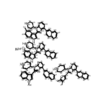 CC(=O)n1cc(-c2nc3c(-c4ccc5ccccc5c4)ccnc3n2C2CCNCC2)c2ccccc21.COc1ccc2[nH]cc(-c3nc4c(-c5ccc6ccccc6c5)ccnc4n3C3CCNCC3)c2c1.Cc1cc(-c2nc3c(-c4ccc5ccccc5c4)ccnc3n2C2CCNCC2)oc1C.Cc1ccc2[nH]cc(-c3nc4c(-c5ccc6ccccc6c5)ccnc4n3C3CCNCC3)c2c1